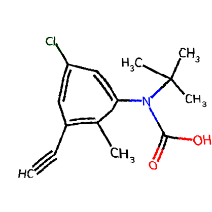 C#Cc1cc(Cl)cc(N(C(=O)O)C(C)(C)C)c1C